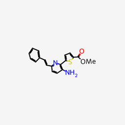 COC(=O)c1ccc(-c2nc(C=Cc3ccccc3)ccc2N)s1